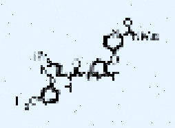 CNC(=O)c1cc(Oc2ccc(NC(=O)Nc3cc(C(C)C)nn3-c3cccc(C)c3)cc2F)ccn1